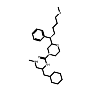 CNCC(CC1CCCCC1)NC(=O)N1CCOC([C@H](CCCCOC)c2ccccc2)C1